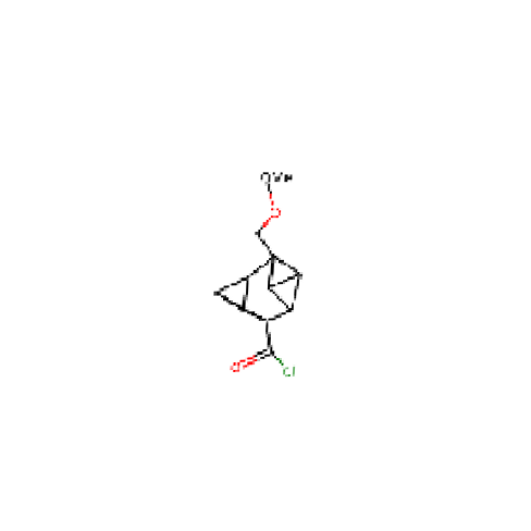 COOCC12C3C1C3C1(C(=O)Cl)C3C2C31